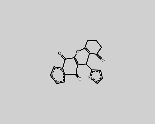 O=C1CCCC2=C1C(c1cccs1)C1=C(O2)C(=O)c2ccccc2C1=O